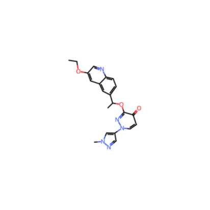 CCOc1cnc2ccc(C(C)Oc3nn(-c4cnn(C)c4)ccc3=O)cc2c1